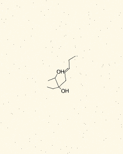 [CH2]C/C=C/CC(O)(CC)C(C)O